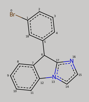 Brc1cccc(C2c3ccccc3-n3ccnc32)c1